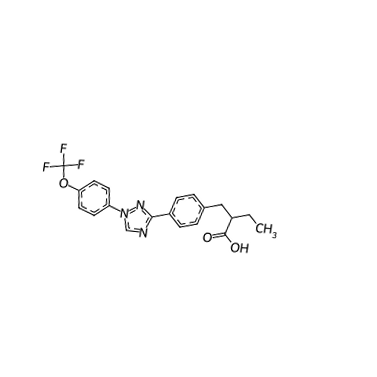 CCC(Cc1ccc(-c2ncn(-c3ccc(OC(F)(F)F)cc3)n2)cc1)C(=O)O